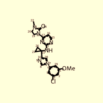 COc1cc(Cl)cc(-n2cnc(C3(Nc4nccc(N5CCN(C)C5=O)n4)CC3)c2)c1